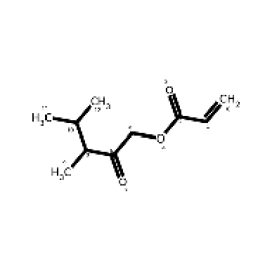 C=CC(=O)OCC(=O)C(C)C(C)C